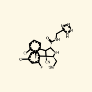 CC(C)(C)C[C@@H]1N[C@@H](C(=O)NCc2nnn[nH]2)C(c2cccc(Cl)c2F)[C@@]1(C#N)c1ccc(Cl)cc1F